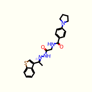 C/C(=N\NC(=O)CNC(=O)c1ccc(N2CCCC2)cc1)c1csc2ccccc12